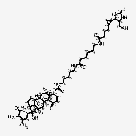 CC1=C(C)C(=O)OC(C(C)(O)[C@]2(O)CC[C@@]3(O)[C@@H]4C[C@H]5O[C@]56[C@@H](OC(=O)NCCCCCNC(=O)CCCCCNC(=O)CCCC5CC5C5NC(=O)NC5CS)C=CC(=O)[C@]6(C)[C@H]4CC[C@@]32C)C1